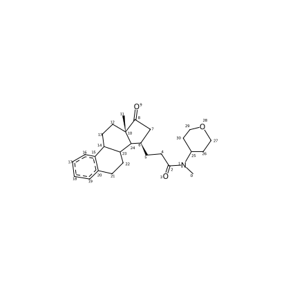 CN(C(=O)CC[C@@H]1CC(=O)[C@@]2(C)CCC3c4ccccc4CCC3C12)C1CCOCC1